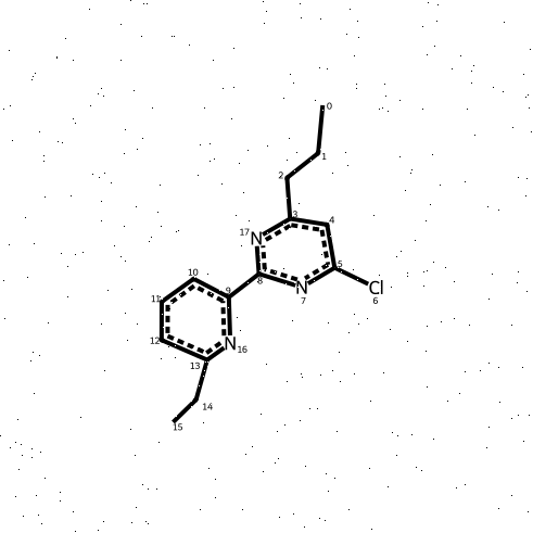 CCCc1cc(Cl)nc(-c2cccc(CC)n2)n1